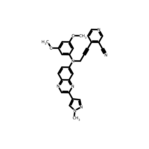 COc1cc(OC)cc(N(CC#Cc2ccncc2C#N)c2ccc3ncc(-c4cnn(C)c4)nc3c2)c1